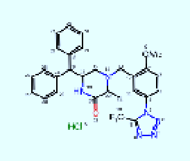 COc1ccc(-n2nnnc2C(F)(F)F)cc1CN1CC(C(c2ccccc2)c2ccccc2)NC(=O)C1C.Cl